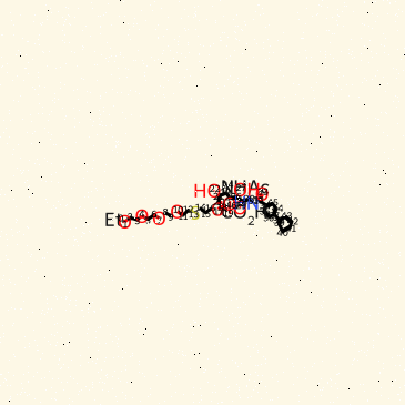 CCOCCOCCOCCOCCSCCCO[C@]1(C(=O)O)C[C@H](O)[C@@H](NC(C)=O)[C@H]([C@H](O)[C@H](O)CNC(=O)c2ccc(-c3ccccc3)cc2)O1